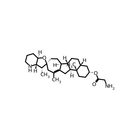 CC1=C2C[C@H]3[C@@H](CC[C@@H]4C[C@H](OC(=O)CN)CC[C@@]43C)[C@@H]2CC[C@@]2(C1)O[C@@H]1CCCN[C@H]1[C@H]2C